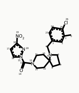 Cc1cc(CN2CCCC23CCN(C(=O)n2ccc([N+](=O)[O-])n2)CC3)ccc1Cl